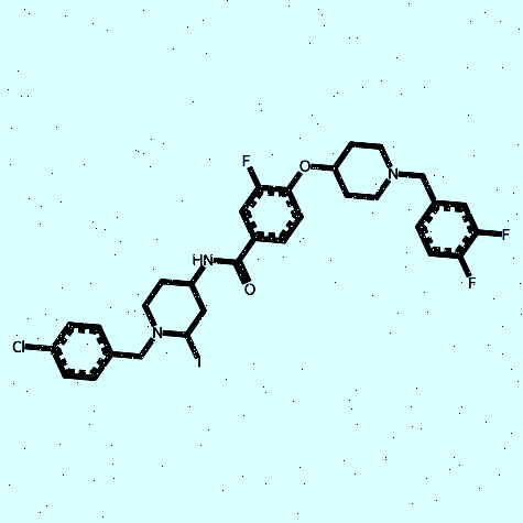 O=C(NC1CCN(Cc2ccc(Cl)cc2)C(I)C1)c1ccc(OC2CCN(Cc3ccc(F)c(F)c3)CC2)c(F)c1